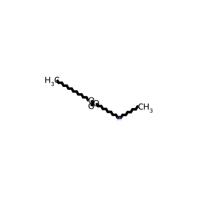 CCCCCCCC/C=C\CCCCCCCCOC(=O)OCCCCCCCCCCCCCC